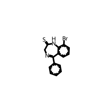 S=C1CN=C(c2ccccc2)c2cccc(Br)c2N1